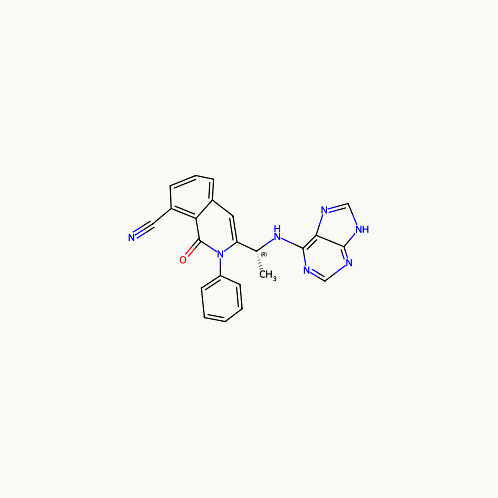 C[C@@H](Nc1ncnc2[nH]cnc12)c1cc2cccc(C#N)c2c(=O)n1-c1ccccc1